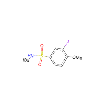 COc1ccc(S(=O)(=O)NC(C)(C)C)cc1I